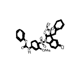 CCON(C=O)C1(CC2CCCCC2)C(=O)N(S(=O)(=O)c2ccc(NC(=O)Oc3ccccc3)cc2OC)c2ccc(Cl)cc21